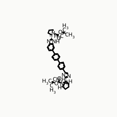 CC(C)(C)OC(=O)N1CCC[C@H]1c1nc2ccc(-c3ccc(-c4ccc(-c5cnc([C@@H]6[C@H]7CC[C@H](C7)N6C(=O)OC(C)(C)C)[nH]5)cc4)cc3)cc2[nH]1